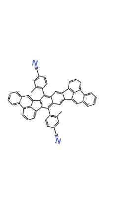 Cc1cc(C#N)ccc1-c1c2cc3c(cc2c(-c2ccc(C#N)cc2C)c2c4cc5ccccc5c5cccc(c12)c54)c1cccc2c4ccccc4cc3c21